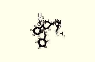 CCc1nnnn1C1CN[C@](OC)(c2ccccc2)[C@H](NCc2ccccc2)C1